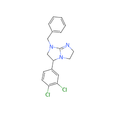 Clc1ccc(C2CN(Cc3ccccc3)C3=NCCN32)cc1Cl